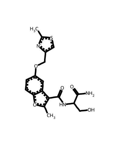 Cc1nc(COc2ccc3oc(C)c(C(=O)NC(CO)C(N)=O)c3c2)cs1